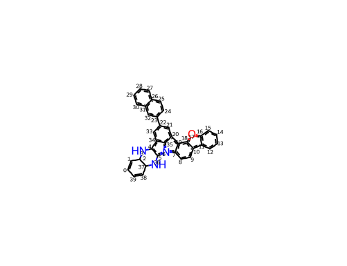 C1=CC2Nc3c(n4c5ccc6c7ccccc7oc6c5c5cc(-c6ccc7ccccc7c6)cc3c54)NC2C=C1